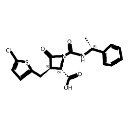 C[C@@H](NC(=O)N1C(=O)[C@H](Cc2ccc(Cl)s2)[C@H]1C(=O)O)c1ccccc1